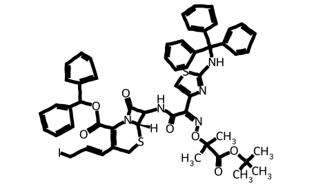 CC(C)(C)OC(=O)C(C)(C)O/N=C(\C(=O)NC1C(=O)N2C(C(=O)OC(c3ccccc3)c3ccccc3)=C(C=CCI)CS[C@@H]12)c1csc(NC(c2ccccc2)(c2ccccc2)c2ccccc2)n1